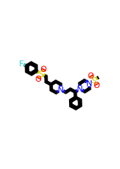 CS(=O)(=O)N1CCN(C(CCN2CCC(CCS(=O)(=O)c3ccc(F)cc3)CC2)c2ccccc2)CC1